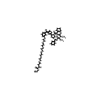 C[C@@H](C(=O)N[C@H](C(=O)N1CCC[C@H]1c1nc(C(=O)c2cccc(OCCOCCOCCOCCOCCOCCNC(=O)OC(C)(C)C)c2)cs1)C1CCCCC1)N(C)C(=O)OCc1ccccc1